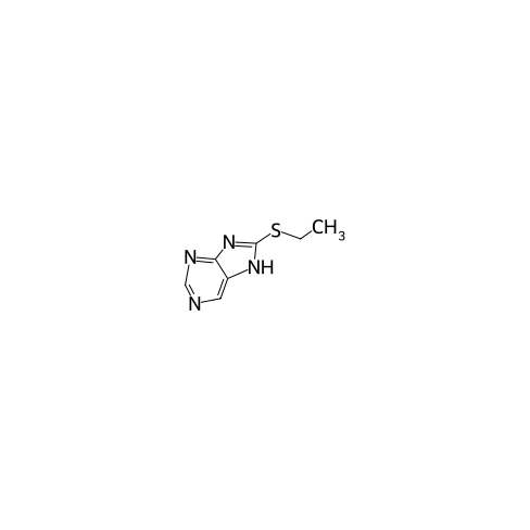 CCSc1nc2ncncc2[nH]1